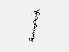 CCCC(CC)C(=O)NCCOCCOCCOCCOCCOCCOCC(=O)C(C)C